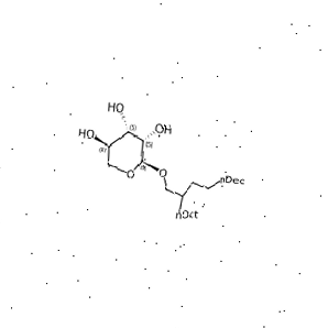 CCCCCCCCCCCCC(CCCCCCCC)CO[C@H]1OC[C@@H](O)[C@H](O)[C@@H]1O